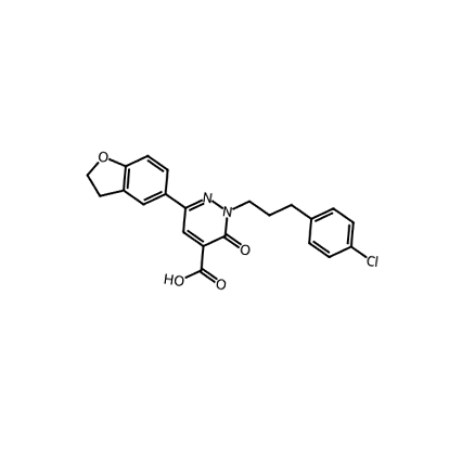 O=C(O)c1cc(-c2ccc3c(c2)CCO3)nn(CCCc2ccc(Cl)cc2)c1=O